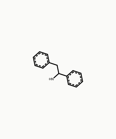 [NH]C(Cc1ccccc1)c1ccccc1